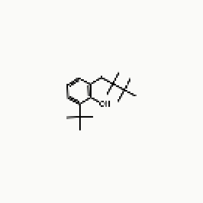 CC(C)(C)c1cccc(CC(C)(C)C(C)(C)C)c1O